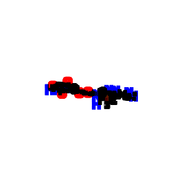 CN(C)c1ccc(-c2cnc(-c3nc4ccc(NCCOCCOc5ccc6c(c5)CN(C5CCC(=O)NC5=O)C6=O)cc4s3)c(C(F)(F)F)c2)cn1